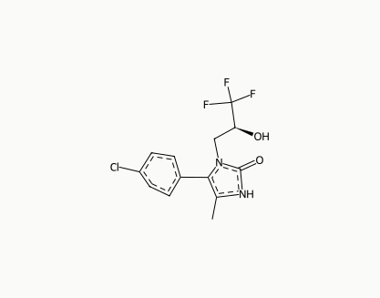 Cc1[nH]c(=O)n(C[C@H](O)C(F)(F)F)c1-c1ccc(Cl)cc1